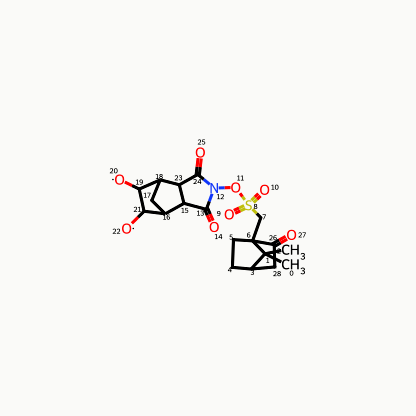 CC1(C)C2CCC1(CS(=O)(=O)ON1C(=O)C3C4CC(C([O])C4[O])C3C1=O)C(=O)C2